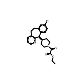 CCOC(=O)C(=O)N1CCC(=C2c3ccc(Cl)cc3CCc3cccnc32)CC1